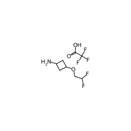 NC1CC(OCC(F)F)C1.O=C(O)C(F)(F)F